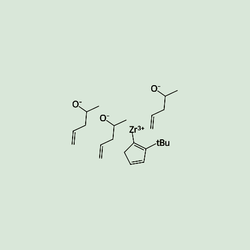 C=CCC(C)[O-].C=CCC(C)[O-].C=CCC(C)[O-].CC(C)(C)C1=[C]([Zr+3])CC=C1